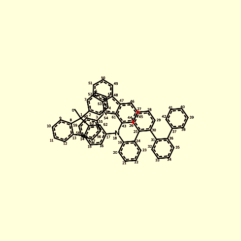 CC1(c2ccccc2)c2ccccc2-c2ccc(N(c3ccccc3-c3ccccc3-c3ccccc3-c3ccccc3)c3cccc4c5ccccc5n(-c5ccccc5)c34)cc21